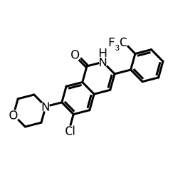 O=c1[nH]c(-c2ccccc2C(F)(F)F)cc2cc(Cl)c(N3CCOCC3)cc12